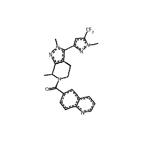 CC1c2nn(C)c(-c3cc(C(F)(F)F)n(C)n3)c2CCN1C(=O)c1ccc2ncccc2c1